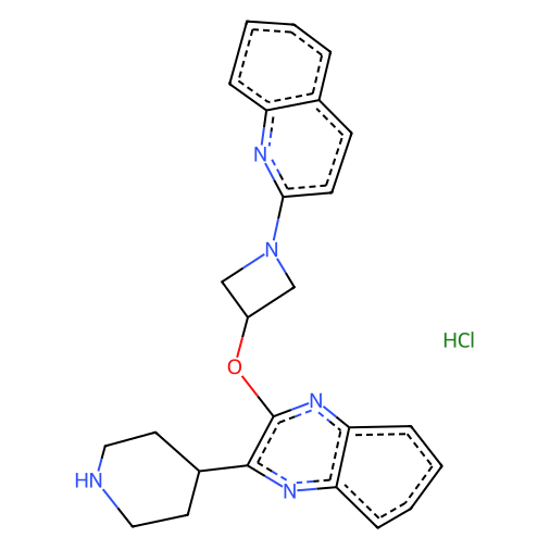 Cl.c1ccc2nc(N3CC(Oc4nc5ccccc5nc4C4CCNCC4)C3)ccc2c1